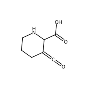 O=C=C1CCCNC1C(=O)O